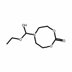 CCOC(O)N1CCOC(=O)OCC1